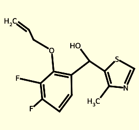 C=CCOc1c(C(O)c2scnc2C)ccc(F)c1F